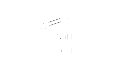 [CsH].[NaH].[O]=[W]